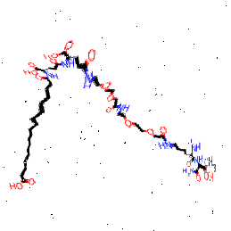 C[C@@H](O)[C@H](NC(=O)[C@H](CCCCNC(=O)COCCOCCNC(=O)COCCOCCNC(=O)CC[C@H](NC(=O)CC[C@H](NC(=O)CCCCCCCCCCCCCCCCC(=O)O)C(=O)O)C(=O)O)NI)C(N)=O